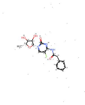 C[C@H]1O[C@@H](n2cc(F)c(NC(=O)Cc3ccccc3)nc2=O)C(O)C1O